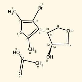 CC(=O)O.Cc1sc(C)c([C@@H]2COC[C@H]2O)c1Br